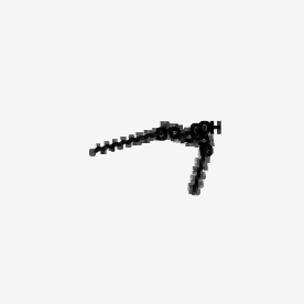 CCCCCCCCCCCCCCCCOC(C)c1ccc(-c2ccc(-c3cc(OCCCCCCCCCC)ccc3C(=O)O)cc2)cc1